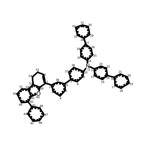 C1=C(c2cccc(-c3ccc(N(c4ccc(-c5ccccc5)cc4)c4ccc(-c5ccccc5)cc4)cc3)c2)c2oc3c(-c4ccccc4)cccc3c2CC1